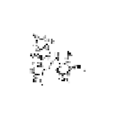 CC(Nc1nc(N)nc(N)c1C#N)c1nc2c(F)cc(F)cc2c(=O)n1-c1cnc(N)cn1